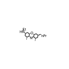 CCC/C=c1\cc(C)c2c(c1)Oc1cc(NCC)cc(C)c1N=2